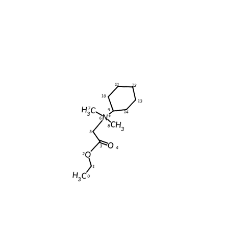 CCOC(=O)C[N+](C)(C)C1CCCCC1